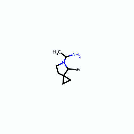 CC(C)C1N(C(C)N)CCC12CC2